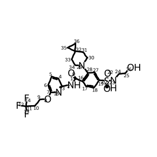 O=C(Nc1cccc(OCCC(F)(F)F)n1)c1ccc(S(=O)(=O)NCCO)cc1N1CCC2(CC1)CC2